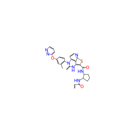 C=CC(=O)NC1CCCC1NC(=O)c1sc2nccc3c2c1[nH]c(=C)n3-c1ccc(Oc2cccnn2)cc1C